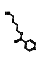 O=C(OCCCCO)c1ccncc1